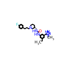 CCc1cc(NC(=O)NC[C@H]2CCCN(CCCc3ccc(F)cc3)C2)cc(-c2nnnn2C)c1